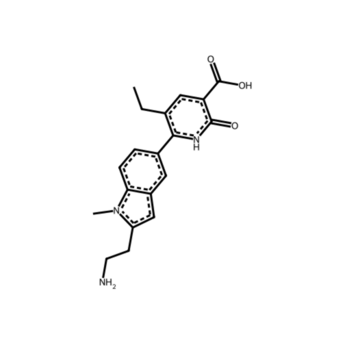 CCc1cc(C(=O)O)c(=O)[nH]c1-c1ccc2c(c1)cc(CCN)n2C